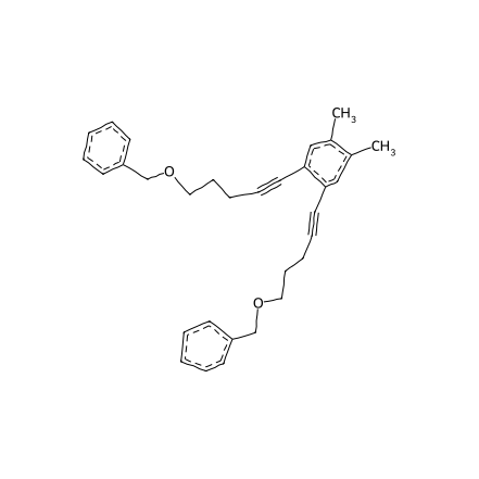 Cc1cc(C#CCCCOCc2ccccc2)c(C#CCCCOCc2ccccc2)cc1C